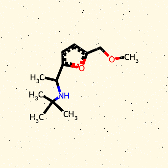 COCc1ccc(C(C)NC(C)(C)C)o1